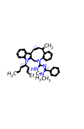 C=C/C=C(\C=C\CC)n1c2c(c3ccccc31)/C=C\C(=C)c1ccccc1N(C(=N)/N=C(/c1ccccc1)N(C)C)C2